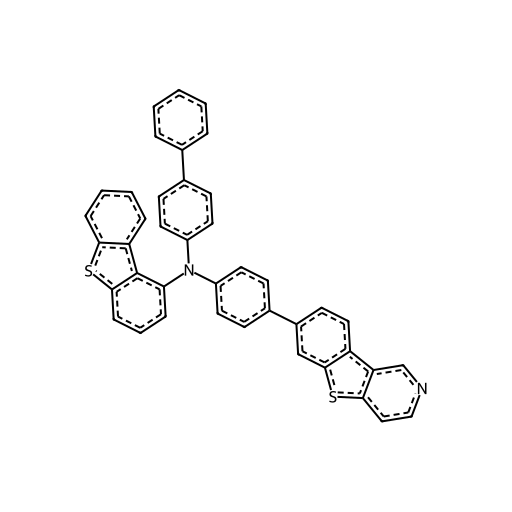 c1ccc(-c2ccc(N(c3ccc(-c4ccc5c(c4)sc4ccncc45)cc3)c3cccc4sc5ccccc5c34)cc2)cc1